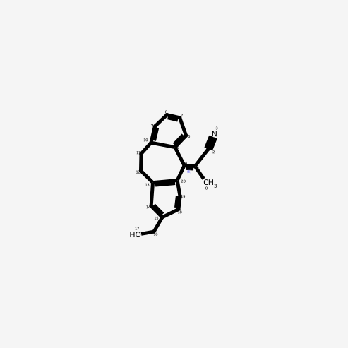 C/C(C#N)=C1/c2ccccc2CCc2cc(CO)ccc21